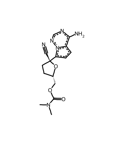 CN(C)C(=O)OC[C@@H]1CC[C@](C#N)(c2ccc3c(N)ncnn23)O1